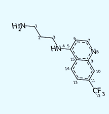 NCCCNc1ccnc2cc(C(F)(F)F)ccc12